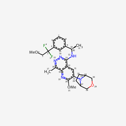 COCC(F)(F)c1cccc([C@@H](C)Nc2nnc(C)c3nc(OC)c(N4C5CCC4COC5)cc23)c1